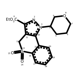 CCOC(=O)c1nn(C2CCCOC2)c2c1CS(=O)(=O)c1ccccc1-2